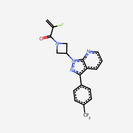 C=C(F)C(=O)N1CC(n2nc(-c3ccc(C(F)(F)F)cc3)c3cccnc32)C1